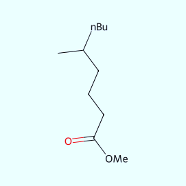 CCCCC(C)CCCC(=O)OC